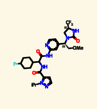 COC[C@H](c1ccnc(NC(=O)C(NC(=O)c2ccnn2C(C)C)C2CCC(F)CC2)c1)N1C[C@@H](C(F)(F)F)NC1=O